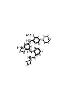 COc1cc(N2CCOCC2)ccc1Nc1nc2c(c(Nc3ccccc3CNC3CCC3)n1)CCN2